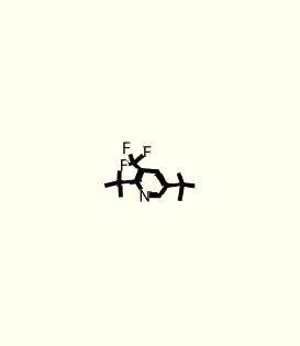 CC(C)(C)c1cnc(C(C)(C)C)c(C(F)(F)F)c1